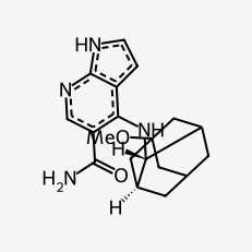 COC12CC3CC(C1)[C@@H](Nc1c(C(N)=O)cnc4[nH]ccc14)[C@@H](C3)C2